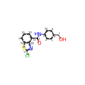 O=C(Nc1ccc(CO)cc1)c1cccc2sc(Cl)nc12